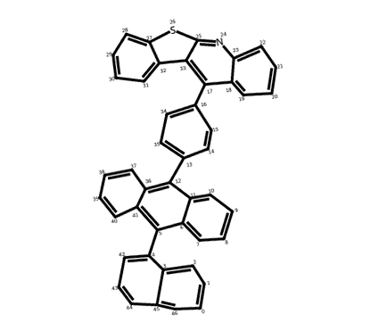 c1ccc2c(-c3c4ccccc4c(-c4ccc(-c5c6ccccc6nc6sc7ccccc7c56)cc4)c4ccccc34)cccc2c1